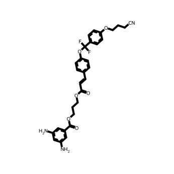 N#CCCCOc1ccc(C(F)(F)Oc2ccc(/C=C/C(=O)OCCCOC(=O)c3cc(N)cc(N)c3)cc2)cc1